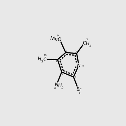 COc1c(C)nc(Br)c(N)c1C